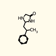 CC(CC1NCC(=O)N1)c1ccccc1